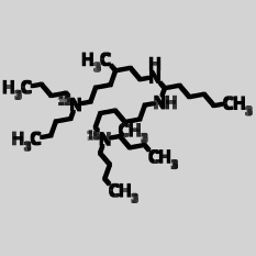 CCCCCC(NCCC(C)CCC[15N](CCCC)CCCC)NCCC(C)CCC[15N](CCCC)CCCC